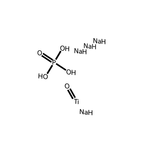 O=P(O)(O)O.[NaH].[NaH].[NaH].[NaH].[O]=[Ti]